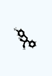 N#CC(C#N)=C(Cc1ccc(Br)cc1)c1ccccc1